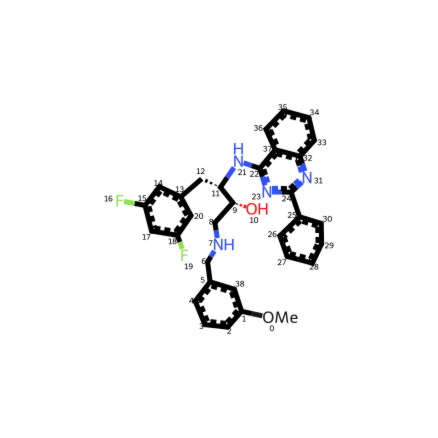 COc1cccc(CNC[C@@H](O)[C@H](Cc2cc(F)cc(F)c2)Nc2nc(-c3ccccc3)nc3ccccc23)c1